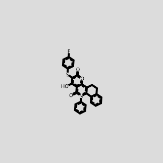 O=c1oc2c3c(n(-c4ccccc4)c(=O)c2c(O)c1Sc1ccc(F)cc1)-c1ccccc1CC3